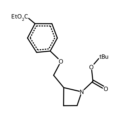 CCOC(=O)c1ccc(OCC2CCN2C(=O)OC(C)(C)C)cc1